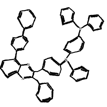 c1ccc(-c2ccc(-c3cccc4nc(-c5ccccc5)c(-c5ccc(N(c6ccccc6)c6ccc(N(c7ccccc7)c7ccccc7)cc6)cc5)nc34)cc2)cc1